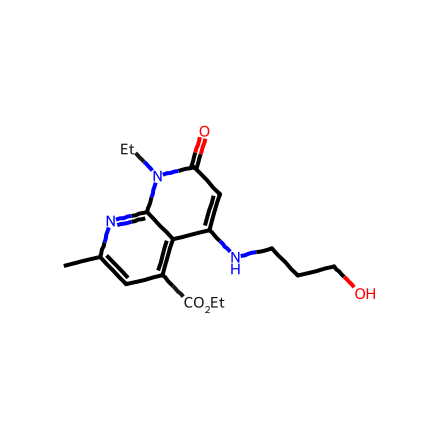 CCOC(=O)c1cc(C)nc2c1c(NCCCO)cc(=O)n2CC